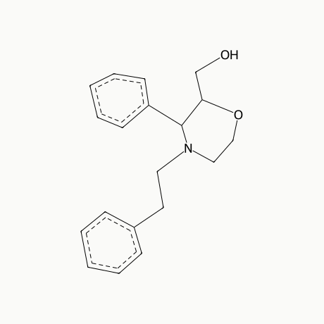 OCC1OCCN(CCc2ccccc2)C1c1ccccc1